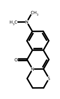 CN(C)c1ccc2cc3n(c(=O)c2c1)CCCS3